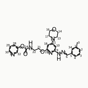 Cc1cccc(C=NNc2cc(N3CCOCC3)cc(OCCNC(=O)Oc3cccnc3)n2)c1